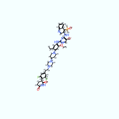 CCOc1cc(N2CCC(N3CCN(CCc4cc(F)c(C5CCC(=O)NC5=O)c(F)c4)CC3)CC2)c(CC)cc1Nc1ncc(Br)c(Nc2cnc3ccccc3c2P(C)(C)=O)n1